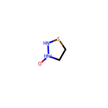 [O-][NH+]1CCSN1